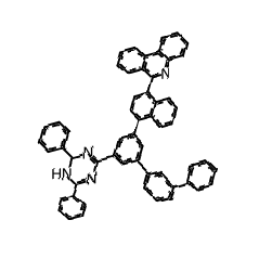 c1ccc(C2=NC(c3cc(-c4cccc(-c5ccccc5)c4)cc(-c4ccc(-c5nc6ccccc6c6ccccc56)c5ccccc45)c3)=NC(c3ccccc3)N2)cc1